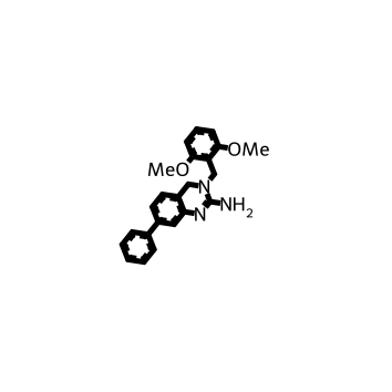 COc1cccc(OC)c1CN1Cc2ccc(-c3ccccc3)cc2N=C1N